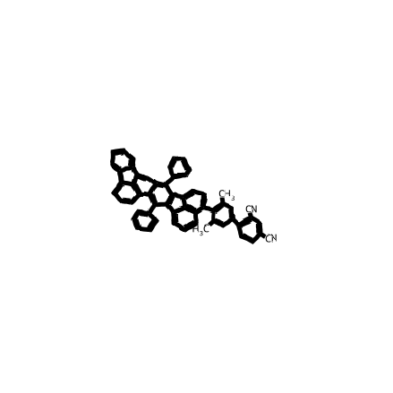 Cc1cc(-c2ccc(C#N)cc2C#N)cc(C)c1-c1ccc2c3c(-c4ccccc4)c4cc5c6ccccc6c6cccc(c4c(-c4ccccc4)c3c3cccc1c23)c65